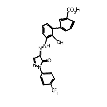 O=C(O)c1cccc(-c2cccc(N/N=C3/C=NN(c4ccc(C(F)(F)F)cc4)C3=O)c2O)c1